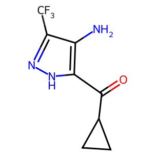 Nc1c(C(F)(F)F)n[nH]c1C(=O)C1CC1